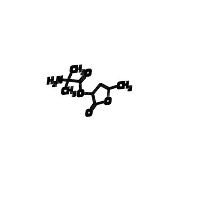 CC1CC(OC(=O)C(C)(C)N)C(=O)O1